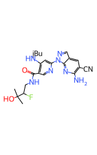 CCC(C)Nc1cc(-n2ncc3cc(C#N)c(N)nc32)ncc1C(=O)NCC(F)C(C)(C)O